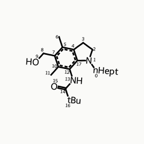 CCCCCCCN1CCc2c(C)c(CO)c(C)c(NC(=O)C(C)(C)C)c21